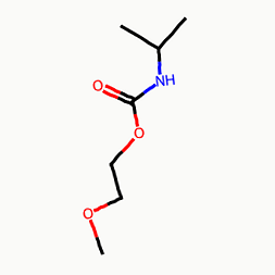 COCCOC(=O)NC(C)C